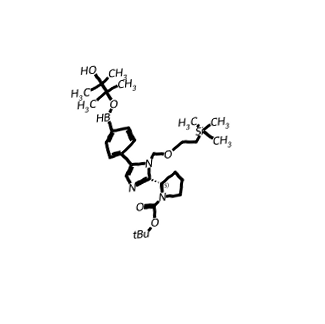 CC(C)(C)OC(=O)N1CCC[C@H]1c1ncc(-c2ccc(BOC(C)(C)C(C)(C)O)cc2)n1COCC[Si](C)(C)C